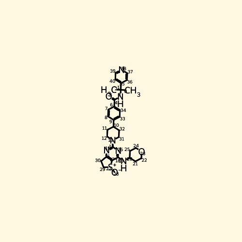 CC(C)(NC(=O)c1ccc(C2CCN(c3nc4c(c(NC5CCOCC5)n3)[S+]([O-])CC4)CC2)cc1)c1ccncc1